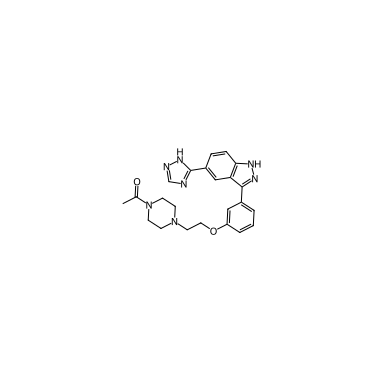 CC(=O)N1CCN(CCOc2cccc(-c3n[nH]c4ccc(-c5ncn[nH]5)cc34)c2)CC1